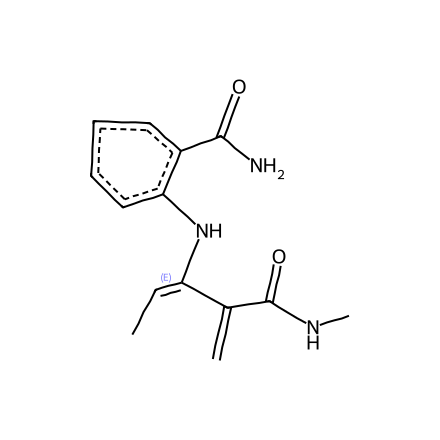 C=C(C(=O)NC)/C(=C\C)Nc1ccccc1C(N)=O